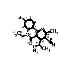 CCOC(=O)c1c(-c2ccc(F)cc2)nc(C)c(C#N)c1C(C)C